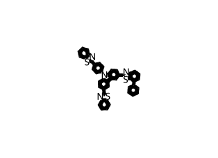 c1ccc(-c2cccc3nc(-c4ccc5c(c4)c4cc(-c6nc7ccccc7s6)ccc4n5-c4ccc(-c5nc6ccccc6s5)cc4)sc23)cc1